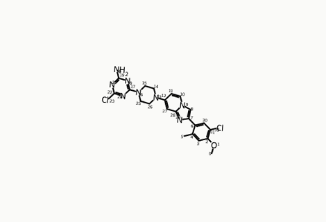 COc1cc(C)c(-c2cn3ccc(N4CCN(c5nc(N)nc(Cl)n5)CC4)cc3n2)cc1Cl